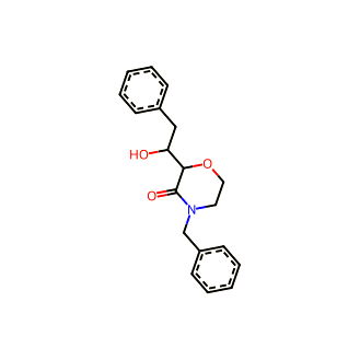 O=C1C(C(O)Cc2ccccc2)OCCN1Cc1ccccc1